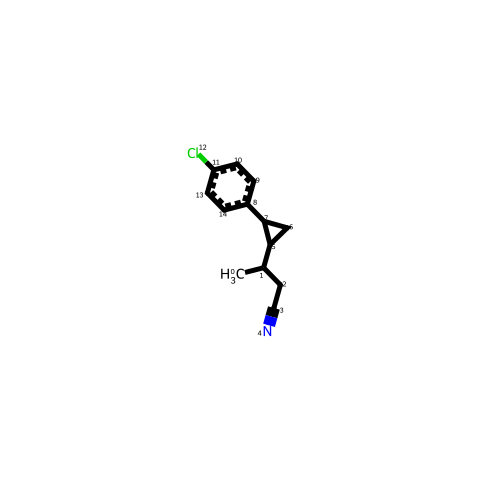 CC(CC#N)C1CC1c1ccc(Cl)cc1